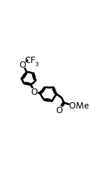 COC(=O)Cc1ccc(Oc2ccc(OC(F)(F)F)cc2)cc1